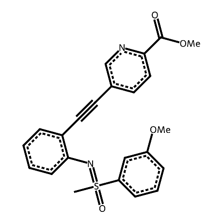 COC(=O)c1ccc(C#Cc2ccccc2N=S(C)(=O)c2cccc(OC)c2)cn1